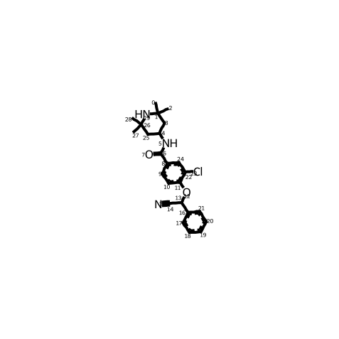 CC1(C)CC(NC(=O)c2ccc(OC(C#N)c3ccccc3)c(Cl)c2)CC(C)(C)N1